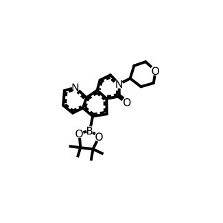 CC1(C)OB(c2cc3c(=O)n(C4CCOCC4)ccc3c3ncccc23)OC1(C)C